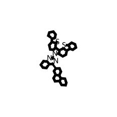 c1ccc2c(c1)ccc1cc(-c3nc(-n4c5ccc6c7ccccc7sc6c5c5c6sc7ccccc7c6ccc54)nc4ccccc34)ccc12